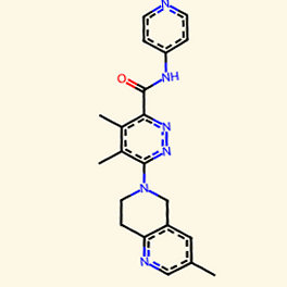 Cc1cnc2c(c1)CN(c1nnc(C(=O)Nc3ccncc3)c(C)c1C)CC2